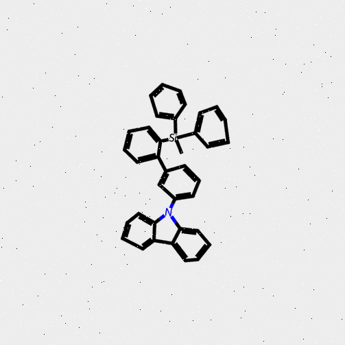 C[Si](c1ccccc1)(c1ccccc1)c1ccccc1-c1cccc(-n2c3ccccc3c3ccccc32)c1